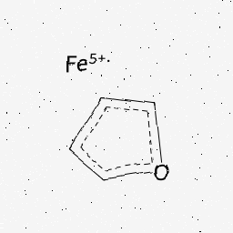 [Fe+5].c1ccoc1